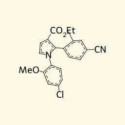 CCOC(=O)c1ccn(-c2ccc(Cl)cc2OC)c1-c1ccc(C#N)cc1C